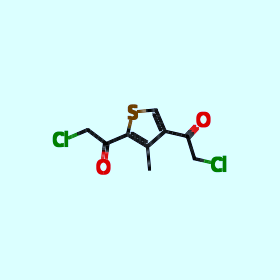 Cc1c(C(=O)CCl)csc1C(=O)CCl